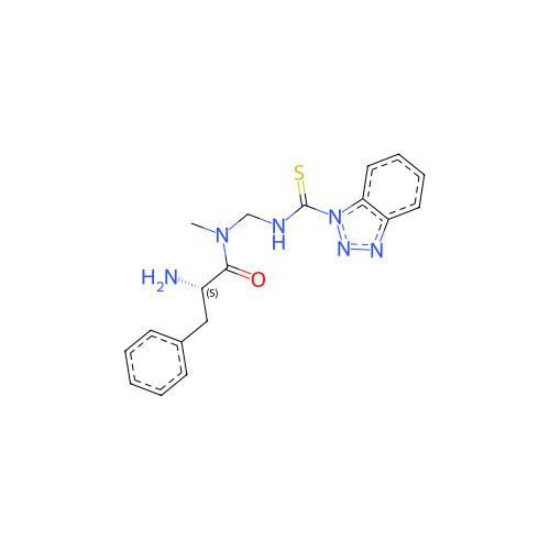 CN(CNC(=S)n1nnc2ccccc21)C(=O)[C@@H](N)Cc1ccccc1